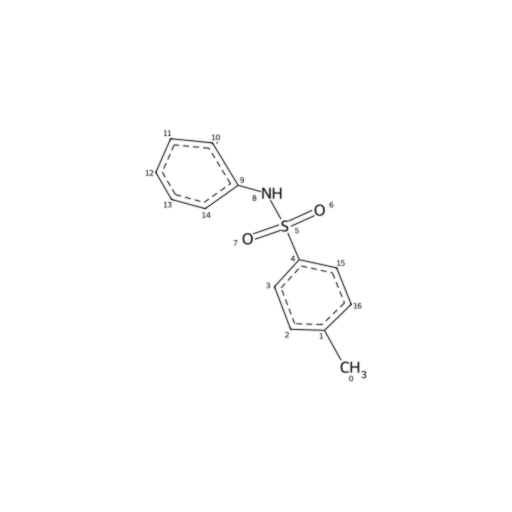 Cc1ccc(S(=O)(=O)Nc2[c]cccc2)cc1